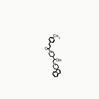 Cc1ccc(/C=C/C(=O)N2CCC(C(O)CN3CCC4(C=Cc5ccccc54)CC3)CC2)cc1